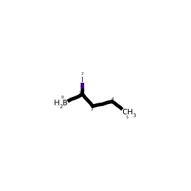 BC(I)CCC